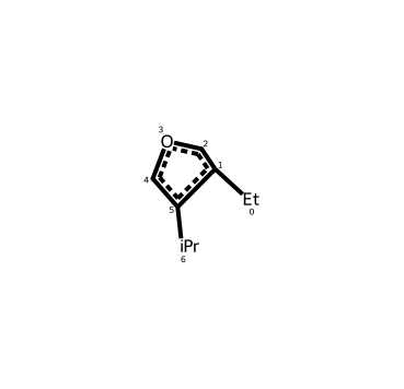 CCc1cocc1C(C)C